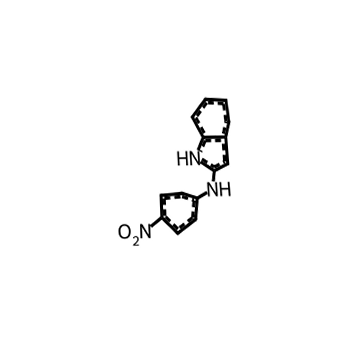 O=[N+]([O-])c1ccc(Nc2cc3ccccc3[nH]2)cc1